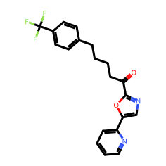 O=C(CCCCc1ccc(C(F)(F)F)cc1)c1ncc(-c2ccccn2)o1